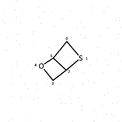 C1SC2COC12